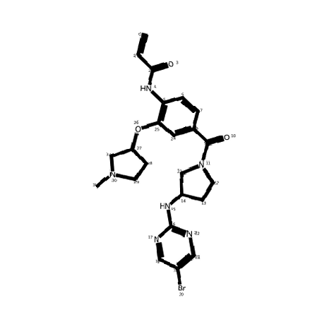 C=CC(=O)Nc1ccc(C(=O)N2CCC(Nc3ncc(Br)cn3)C2)cc1OC1CCN(C)C1